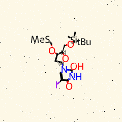 CSCOC1C[C@H](N2C=C(I)C(=O)NC2O)O[C@@H]1CO[Si](C)(C)C(C)(C)C